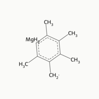 [CH2]c1c(C)cc(C)c(C)c1C.[MgH2]